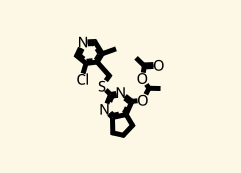 CC(=O)OC(C)Oc1nc(SCc2c(C)cncc2Cl)nc2c1CCC2